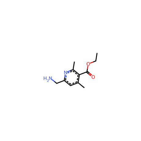 CCOC(=O)c1c(C)cc(CN)nc1C